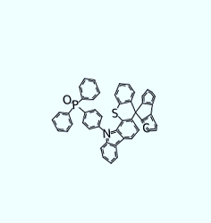 O=P(c1ccccc1)(c1ccccc1)c1ccc(-n2c3ccccc3c3ccc4c(c32)Sc2ccccc2C42c3ccccc3-c3ccccc32)cc1